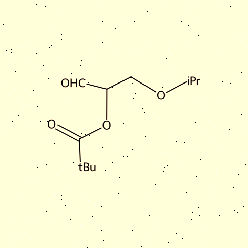 CC(C)OCC(C=O)OC(=O)C(C)(C)C